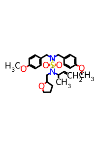 C=CC(C)N(CC1CCCO1)S(=O)(=O)N(Cc1ccc(OC)cc1)Cc1ccc(OC)cc1